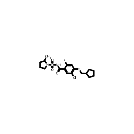 CC1CCCN1S(=O)(=O)NC(=O)c1cc(Cl)c(OCC2CCCC2)cc1F